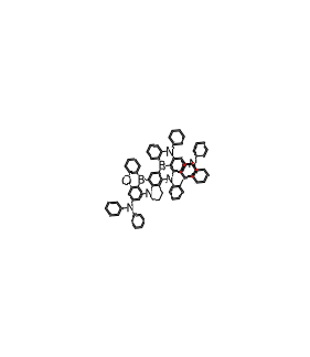 c1ccc(-c2ccccc2N2c3cc(N(c4ccccc4)c4ccccc4)cc4c3B(c3ccccc3N4c3ccccc3)c3cc4c5c(c32)CCCN5c2cc(N(c3ccccc3)c3ccccc3)cc3c2B4c2ccccc2O3)cc1